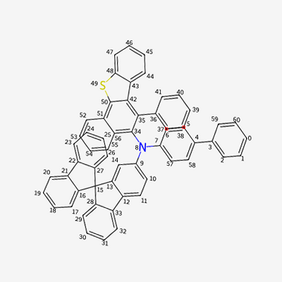 c1ccc(-c2ccc(N(c3ccc4c(c3)C3(c5ccccc5-c5ccccc53)c3ccccc3-4)c3c(-c4ccccc4)c4c5ccccc5sc4c4ccccc34)cc2)cc1